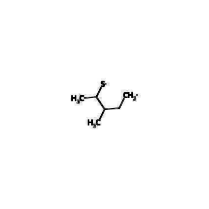 [CH2]CC(C)C(C)[S]